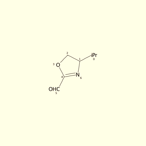 CC(C)C1COC(C=O)=N1